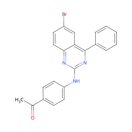 CC(=O)c1ccc(Nc2nc(-c3ccccc3)c3cc(Br)ccc3n2)cc1